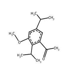 COc1cc(C(C)C)cc(C(C)=O)c1C(C)C